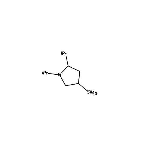 CSC1CC(C(C)C)N(C(C)C)C1